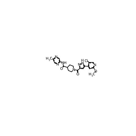 COc1cc(-c2cc(C(=O)N3CCC(C(=O)Nc4cnc(C)cn4)CC3)n[nH]2)c(Cl)cn1